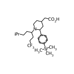 CC(C)CCC(CCC(F)(F)F)N1CCC(CC(=O)O)CC1c1ccc([Si](C)(C)C)cc1